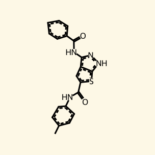 Cc1ccc(NC(=O)c2cc3c(NC(=O)c4ccccc4)n[nH]c3s2)cc1